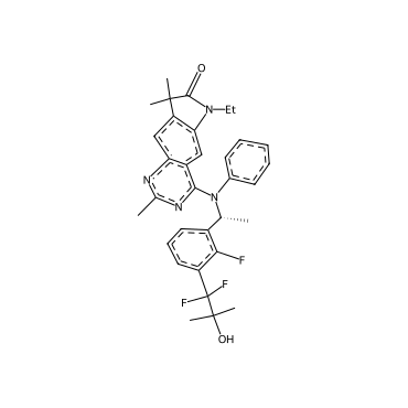 CCN1C(=O)C(C)(C)c2cc3nc(C)nc(N(c4ccccc4)[C@H](C)c4cccc(C(F)(F)C(C)(C)O)c4F)c3cc21